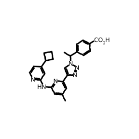 Cc1cc(Nc2cc(C3CCC3)ccn2)nc(-c2cn(C(C)c3ccc(C(=O)O)cc3)nn2)c1